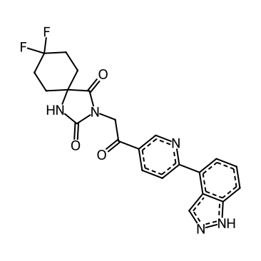 O=C(CN1C(=O)NC2(CCC(F)(F)CC2)C1=O)c1ccc(-c2cccc3[nH]ncc23)nc1